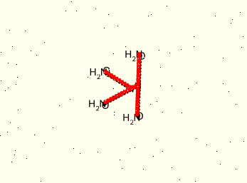 NC(=O)CCCCCCCCCCCCCCCCCCN(CCCCCCCCCCCCCCCCCCC(N)=O)CCCCN(CCCCCCCCCCCCCCCCCCC(N)=O)CCCCCCCCCCCCCCCCCCC(N)=O